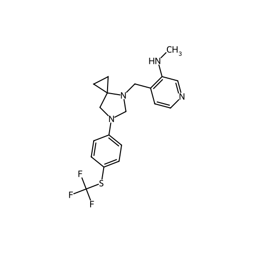 CNc1cnccc1CN1CN(c2ccc(SC(F)(F)F)cc2)CC12CC2